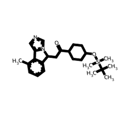 Cc1cccc2c1-c1cncn1C2CC(=O)C1CCC(O[Si](C)(C)C(C)(C)C)CC1